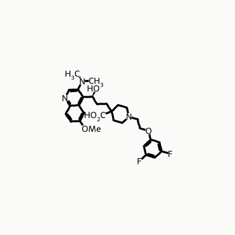 COc1ccc2ncc(N(C)C)c([C@@H](O)CCC3(C(=O)O)CCN(CCOc4cc(F)cc(F)c4)CC3)c2c1